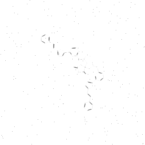 CC(CC1(CC(C)Nc2nccc(-c3ccc(C=Cc4ccccc4)s3)n2)NC(=O)NC1=O)Nc1nccc(-c2ccc(C=Cc3ccccc3)s2)n1